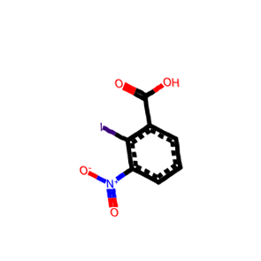 O=C(O)c1cccc([N+](=O)[O-])c1I